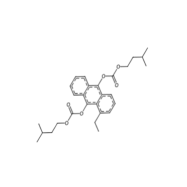 CCc1cccc2c(OC(=O)OCCC(C)C)c3ccccc3c(OC(=O)OCCC(C)C)c12